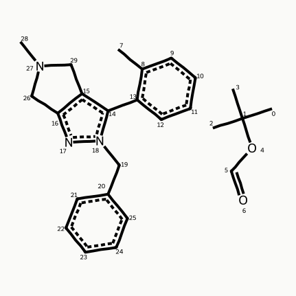 CC(C)(C)OC=O.Cc1ccccc1-c1c2c(nn1Cc1ccccc1)CN(C)C2